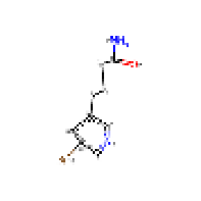 NC(=O)CCCc1cncc(Br)c1